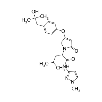 CC(C)C[C@@H](C(=O)Nc1ccn(C)n1)N1CC(Oc2ccc(CC(C)(C)O)cc2)=CC1=O